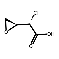 O=C(O)[C@@H](Cl)[C@@H]1CO1